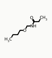 CCCCOCNC(=O)CC